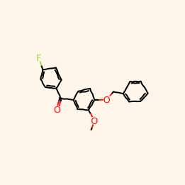 COc1cc(C(=O)c2ccc(F)cc2)ccc1OCc1ccccc1